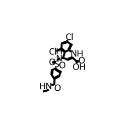 CCNC(=O)c1ccc(S(=O)(=O)NC2C=C(C(=O)O)Nc3cc(Cl)cc(Cl)c32)cc1